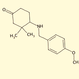 COc1ccc(CNC2CCC(=O)CC2(C)C)cc1